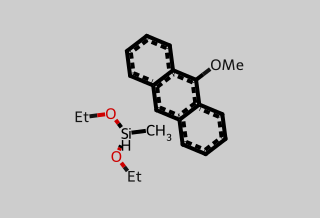 CCO[SiH](C)OCC.COc1c2ccccc2cc2ccccc12